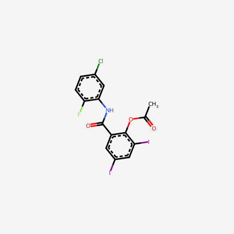 CC(=O)Oc1c(I)cc(I)cc1C(=O)Nc1cc(Cl)ccc1F